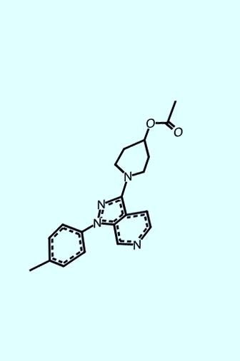 CC(=O)OC1CCN(c2nn(-c3ccc(C)cc3)c3cnccc23)CC1